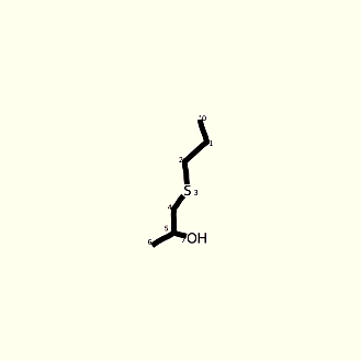 [CH2]CCSCC(C)O